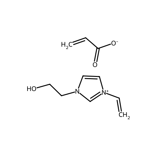 C=CC(=O)[O-].C=C[n+]1ccn(CCO)c1